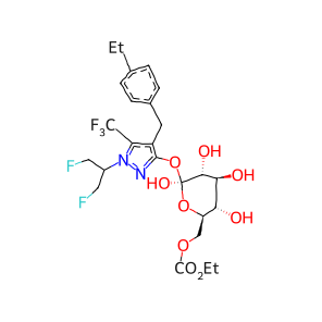 CCOC(=O)OC[C@H]1O[C@@](O)(Oc2nn(C(CF)CF)c(C(F)(F)F)c2Cc2ccc(CC)cc2)[C@H](O)[C@@H](O)[C@@H]1O